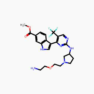 COC(=O)c1ccc2c(-c3nc(NC4CCN(CCOCCN)C4)ncc3C(F)(F)F)c[nH]c2c1